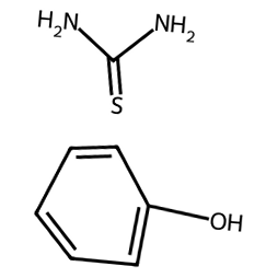 NC(N)=S.Oc1ccccc1